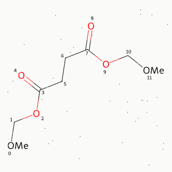 COCOC(=O)CCC(=O)OCOC